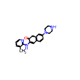 Cc1cccnc1NC1=Cc2ccc(N3CCNCC3)cc2CC1=O